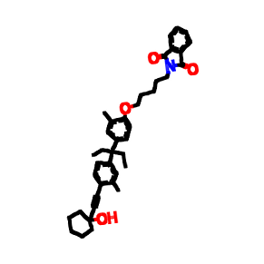 CCC(CC)(c1ccc(C#CC2(O)CCCCC2)c(C)c1)c1ccc(OCCCCCN2C(=O)c3ccccc3C2=O)c(C)c1